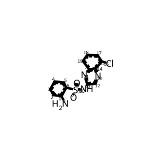 Nc1ccccc1S(=O)(=O)Nc1cnc2c(Cl)cccc2n1